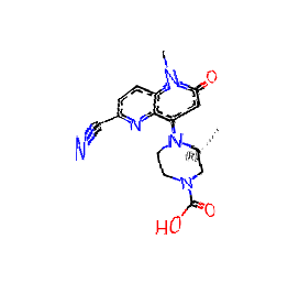 C[C@@H]1CN(C(=O)O)CCN1c1cc(=O)n(C)c2ccc(C#N)nc12